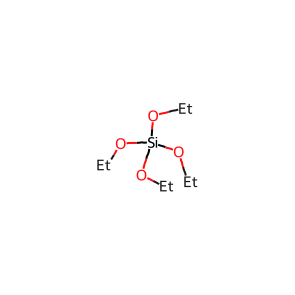 [CH2]CO[Si](OCC)(OCC)OCC